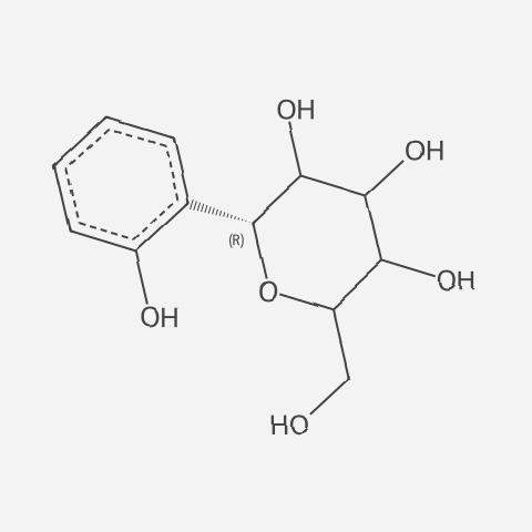 OCC1O[C@H](c2ccccc2O)C(O)C(O)C1O